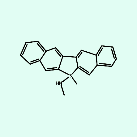 CNS1(C)c2cc3ccccc3cc2-c2cc3ccccc3cc21